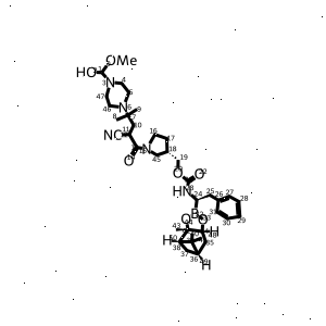 COC(O)N1CCN(C(C)(C)CC(C#N)C(=O)N2CC[C@H](COC(=O)N[C@@H](Cc3ccccc3)B3O[C@@H]4C[C@@H]5C[C@@H](C5(C)C)[C@]4(C)O3)C2)CC1